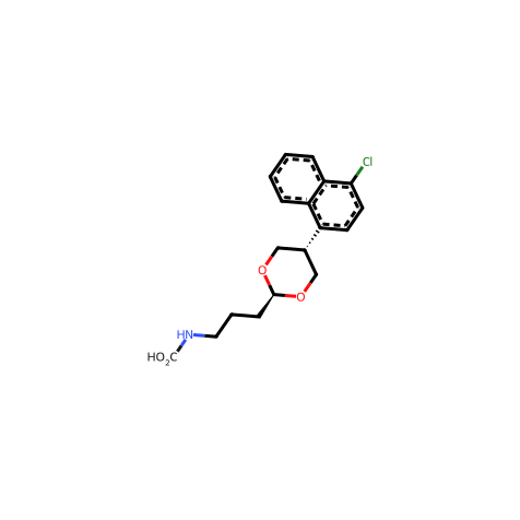 O=C(O)NCCC[C@H]1OC[C@H](c2ccc(Cl)c3ccccc32)CO1